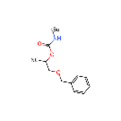 CC(C)(C)NC(=O)OC(C#N)COCc1ccccc1